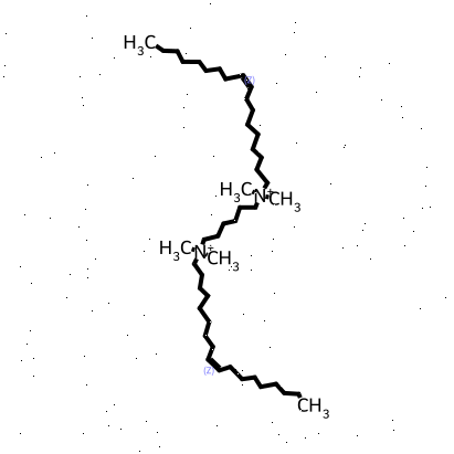 CCCCCCCC/C=C\CCCCCCCC[N+](C)(C)CCCCCC[N+](C)(C)CCCCCCCC/C=C\CCCCCCCC